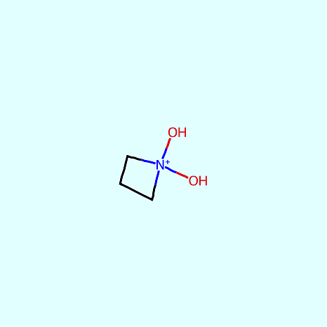 O[N+]1(O)CCC1